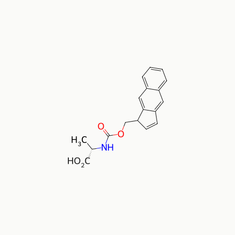 C[C@H](NC(=O)OCC1C=Cc2cc3ccccc3cc21)C(=O)O